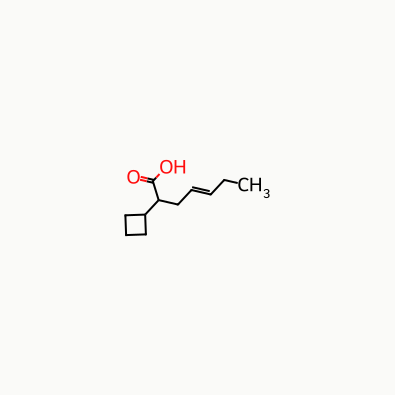 CCC=CCC(C(=O)O)C1CCC1